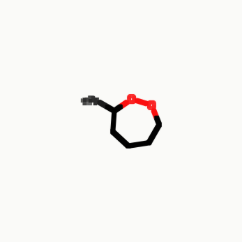 CC[CH]C1CCCCOO1